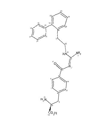 NC(=NC(=O)c1ccc(C[C@H](N)C(=O)O)cc1)NCCc1ccccc1-c1ccccc1